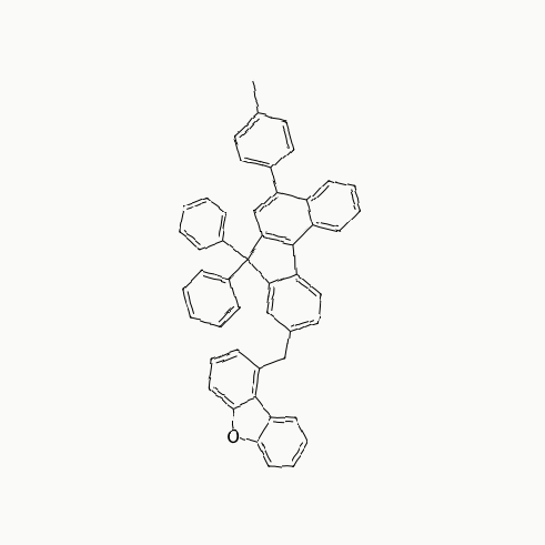 Cc1ccc(-c2cc3c(c4ccccc24)-c2ccc(Cc4cccc5oc6ccccc6c45)cc2C3(c2ccccc2)c2ccccc2)cc1